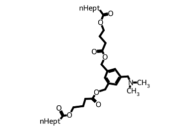 CCCCCCCC(=O)OCCCC(=O)OCc1cc(COC(=O)CCCOC(=O)CCCCCCC)cc(CN(C)C)c1